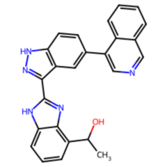 CC(O)c1cccc2[nH]c(-c3n[nH]c4ccc(-c5cncc6ccccc56)cc34)nc12